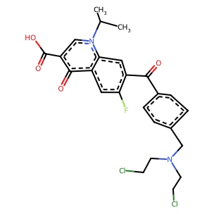 CC(C)n1cc(C(=O)O)c(=O)c2cc(F)c(C(=O)c3ccc(CN(CCCl)CCCl)cc3)cc21